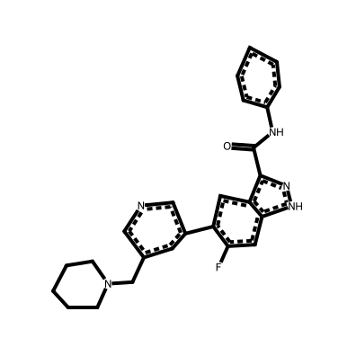 O=C(Nc1ccccc1)c1n[nH]c2cc(F)c(-c3cncc(CN4CCCCC4)c3)cc12